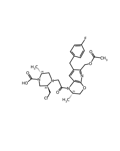 CC(=O)OCc1nc2c(cc1Cc1ccc(F)cc1)N(C(=O)CN1C[C@@H](C)N(C(=O)O)C[C@@H]1CCl)[C@@H](C)CO2